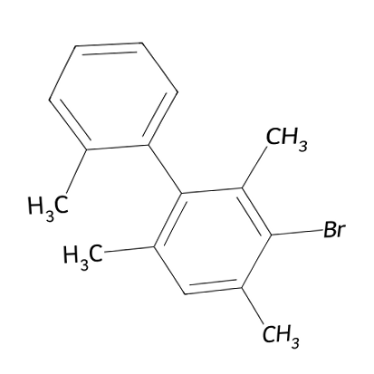 Cc1ccccc1-c1c(C)cc(C)c(Br)c1C